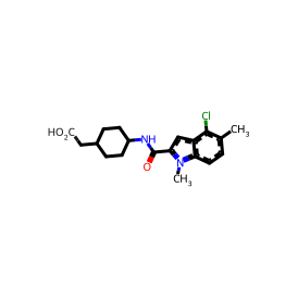 Cc1ccc2c(cc(C(=O)NC3CCC(CC(=O)O)CC3)n2C)c1Cl